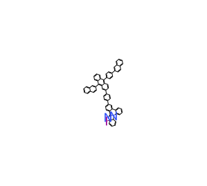 IC12C=CC=CC1N1C(=N2)c2ccc(-c3ccc(-c4ccc5c(-c6ccc(-c7ccc8ccccc8c7)cc6)c6ccccc6c(-c6ccc7ccccc7c6)c5c4)cc3)cc2-c2ccccc21